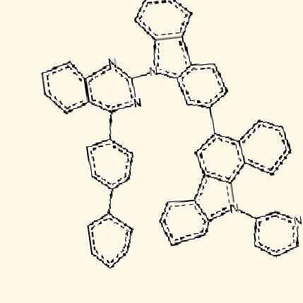 c1ccc(-c2ccc(-c3nc(-n4c5ccccc5c5ccc(-c6cc7c8ccccc8n(-c8cccnc8)c7c7ccccc67)cc54)nc4ccccc34)cc2)cc1